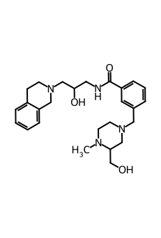 CN1CCN(Cc2cccc(C(=O)NCC(O)CN3CCc4ccccc4C3)c2)CC1CO